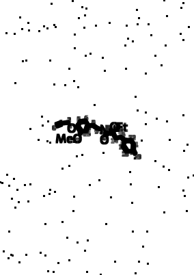 C#CCOc1ccc(CCNC(=O)C(CCc2ccc(C)cc2)OCC)cc1OC